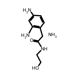 N.Nc1ccc(CC(=O)NCCO)c(N)c1